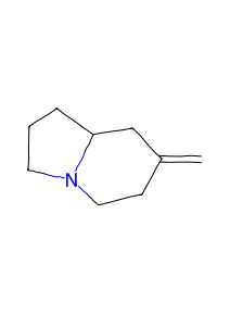 C=C1CCN2CCCC2C1